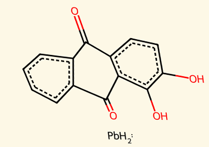 O=C1c2ccccc2C(=O)c2c1ccc(O)c2O.[PbH2]